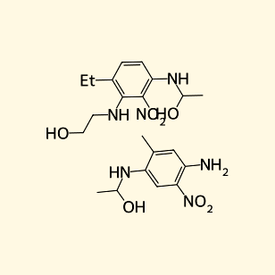 CCc1ccc(NC(C)O)c([N+](=O)[O-])c1NCCO.Cc1cc(N)c([N+](=O)[O-])cc1NC(C)O